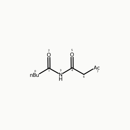 CCCCC(=O)NC(=O)CC(C)=O